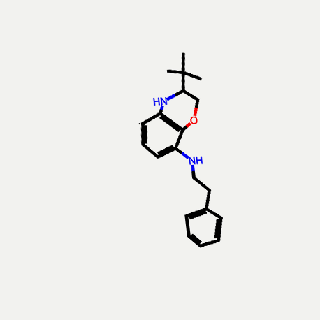 CC(C)(C)C1COc2c([c]ccc2NCCc2ccccc2)N1